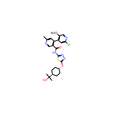 COc1cnc(Cl)cc1-c1cc(C)ncc1C(=O)Nc1nnc(O[C@H]2CC[C@H](C(C)(C)O)CC2)s1